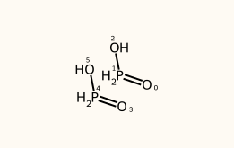 O=[PH2]O.O=[PH2]O